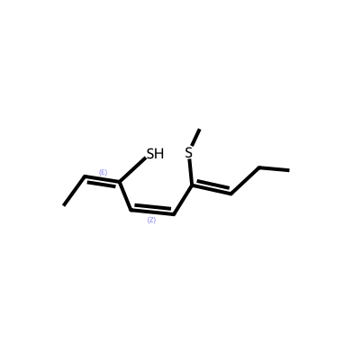 C/C=C(S)\C=C/C(=CCC)SC